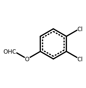 O=COc1ccc(Cl)c(Cl)c1